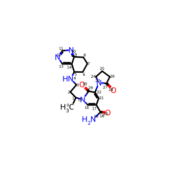 CC(CCNC1CCCc2ncncc21)n1cc(C(N)=O)cc(N2CCCC2=O)c1=O